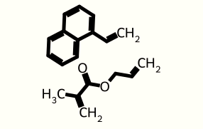 C=CCOC(=O)C(=C)C.C=Cc1cccc2ccccc12